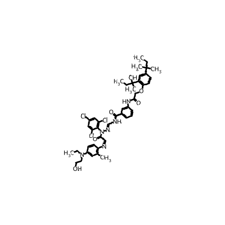 CCN(CCO)c1ccc(/N=C\C(=O)N(/N=C/NC(=O)c2cccc(NC(=O)COc3ccc(C(C)(C)CC)cc3C(C)(C)CC)c2)c2c(Cl)cc(Cl)cc2Cl)c(C)c1